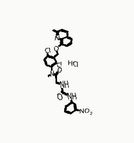 Cc1ccc2cccc(OCc3c(Cl)ccc(N(C)C(=O)CNC(=O)Nc4cccc([N+](=O)[O-])c4)c3Cl)c2n1.Cl